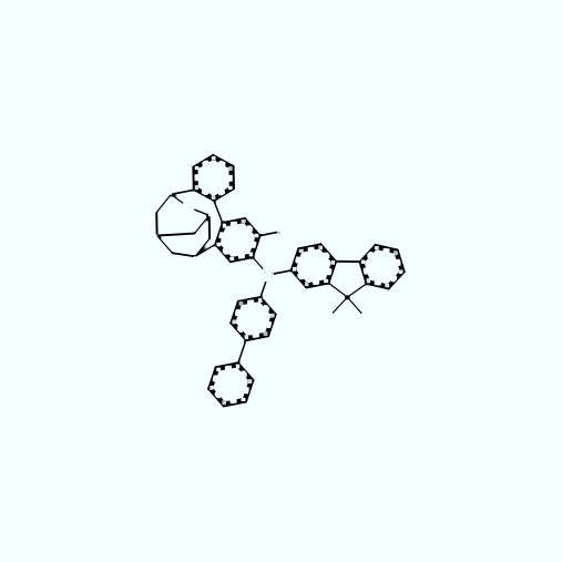 CC1(C)c2ccccc2-c2ccc(N(c3ccc(-c4ccccc4)cc3)c3cc4c(cc3Cl)-c3ccccc3C3CC5CC(C3)CC4C5)cc21